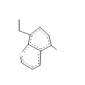 COc1ccc(CO)c2ncccc12